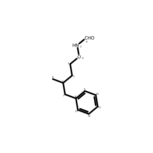 CC(CCONC=O)Cc1ccccc1